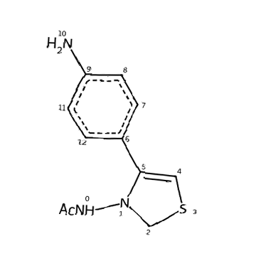 CC(=O)NN1CSC=C1c1ccc(N)cc1